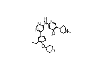 CCc1cc(-c2cc(Nc3cc(OC)c(C4CCN(C)CC4)cn3)ncn2)ccc1OC1CCOCC1